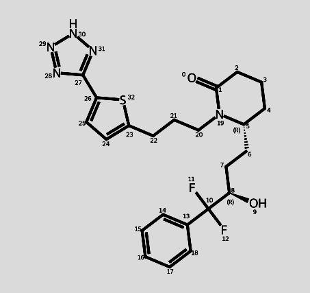 O=C1CCC[C@H](CC[C@@H](O)C(F)(F)c2ccccc2)N1CCCc1ccc(-c2nn[nH]n2)s1